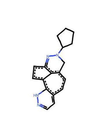 C1=NNc2c3ccc4c-3c(ccc2=C1)CN(C1CCCC1)N=4